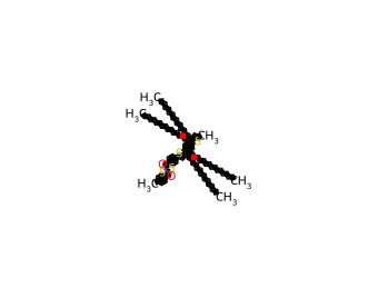 CCCCCCCCCCCCCCCCC1(CCCCCCCCCCCCCCCC)c2cc3c(cc2-c2sc(C)cc21)C(CCCCCCCCCCCCCCCC)(CCCCCCCCCCCCCCCC)c1cc(-c2ccc4c(c2)S/C(=C2/Sc5cc(C)ccc5C2=O)C4=O)sc1-3